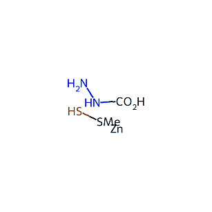 CSS.NNC(=O)O.[Zn]